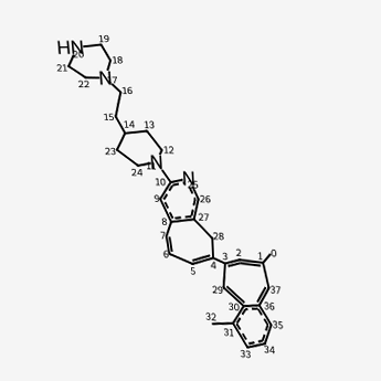 CC1=C=C(C2=CC=Cc3cc(N4CCC(CCN5CCNCC5)CC4)ncc3C2)C=c2c(C)cccc2=C1